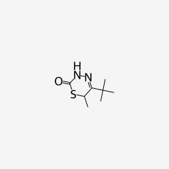 CC1SC(=O)NN=C1C(C)(C)C